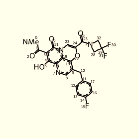 CNC(=O)c1c(O)c2ncc(Cc3ccc(F)cc3)c3c2n(c1=O)C=C(C(=O)N1CC(F)(F)C1)O3